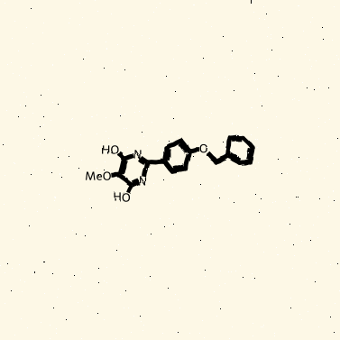 COc1c(O)nc(-c2ccc(OCc3ccccc3)cc2)nc1O